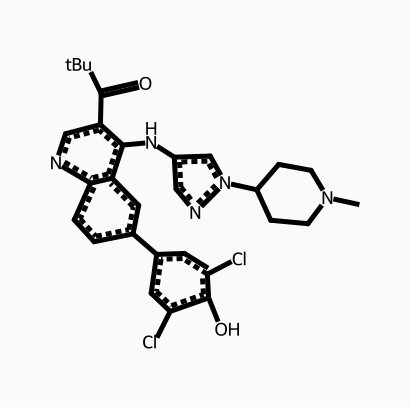 CN1CCC(n2cc(Nc3c(C(=O)C(C)(C)C)cnc4ccc(-c5cc(Cl)c(O)c(Cl)c5)cc34)cn2)CC1